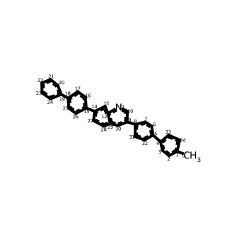 Cc1ccc(-c2ccc(-c3cnc4cc(-c5ccc(-c6ccccc6)cc5)ccc4c3)cc2)cc1